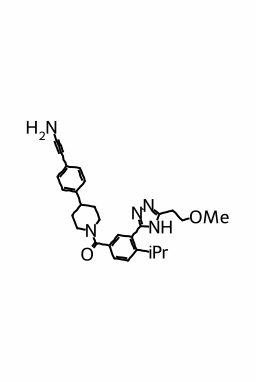 COCCc1nnc(-c2cc(C(=O)N3CCC(c4ccc(C#CN)cc4)CC3)ccc2C(C)C)[nH]1